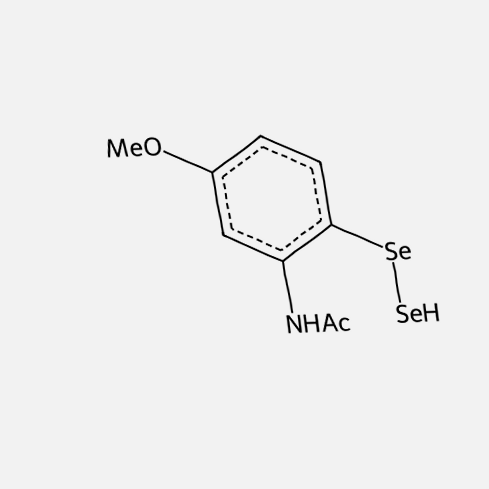 COc1ccc([Se][SeH])c(NC(C)=O)c1